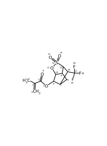 C=C(C)C(=O)OC1C2CC3C1OS(=O)(=O)C3C2C(F)(F)F